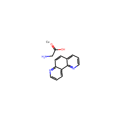 NCC(=O)O.[Cu].c1cnc2c(c1)ccc1ncccc12